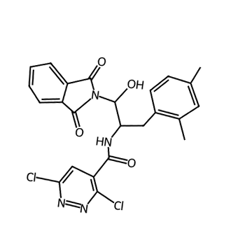 Cc1ccc(CC(NC(=O)c2cc(Cl)nnc2Cl)C(O)N2C(=O)c3ccccc3C2=O)c(C)c1